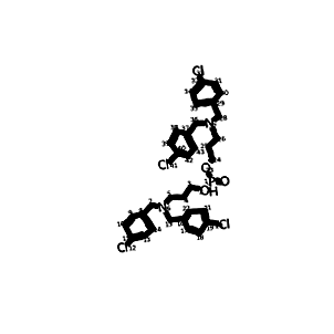 O=[PH](OCCCN(Cc1ccc(Cl)cc1)Cc1ccc(Cl)cc1)OCCCN(Cc1ccc(Cl)cc1)Cc1ccc(Cl)cc1